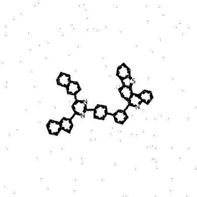 c1cc(-c2ccc(-c3nc(-c4ccc5ccccc5c4)cc(-c4ccc5ccccc5c4)n3)cc2)cc(-c2nc3ccccc3c3c2ccc2c4ccccc4sc23)c1